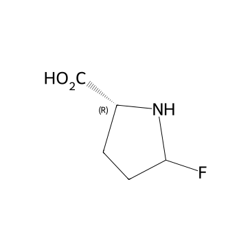 O=C(O)[C@H]1CCC(F)N1